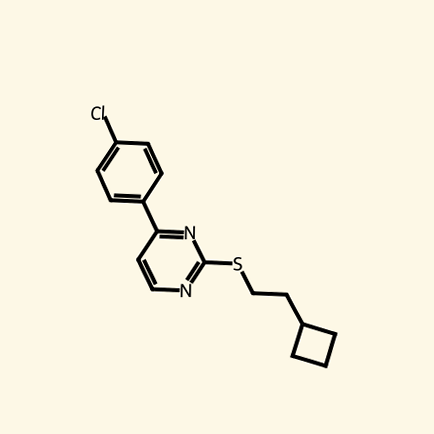 Clc1ccc(-c2ccnc(SCCC3CCC3)n2)cc1